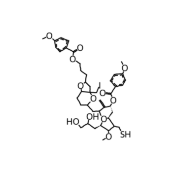 C=C(C(C)CC1CCC2OC(CCCOC(=O)c3ccc(OC)cc3)CC2(CI)O1)[C@@H](C[C@@H]1O[C@H](CC(O)CO)[C@H](OC)C1CS)OC(=O)c1ccc(OC)cc1